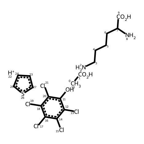 CC(=O)O.NCCCCC(N)C(=O)O.Oc1c(Cl)c(Cl)c(Cl)c(Cl)c1Cl.[H+].c1ccsc1